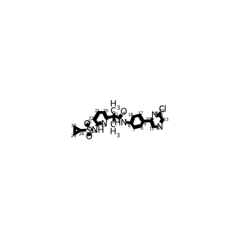 CC(C)(C(=O)Nc1ccc(-c2cncc(Cl)n2)cc1)c1cccc(NS(=O)(=O)C2CC2)n1